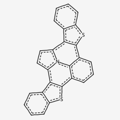 c1ccc2c(c1)sc1c3cccc4c5sc6ccccc6c5c5ccc(c21)n5c34